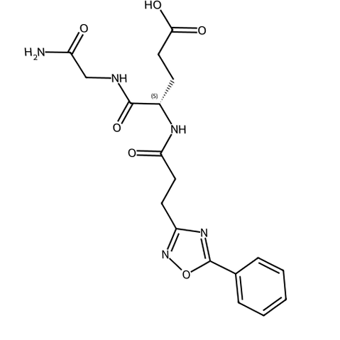 NC(=O)CNC(=O)[C@H](CCC(=O)O)NC(=O)CCc1noc(-c2ccccc2)n1